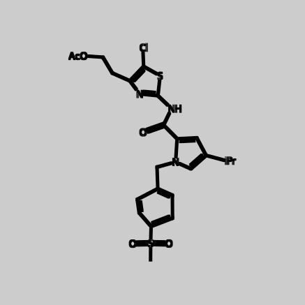 CC(=O)OCCc1nc(NC(=O)c2cc(C(C)C)cn2Cc2ccc(S(C)(=O)=O)cc2)sc1Cl